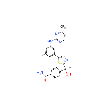 Cc1cc(Nc2nccc(C(F)(F)F)n2)cc(-c2cnc([C@@](C)(O)c3ccc(C(N)=O)cc3)s2)c1